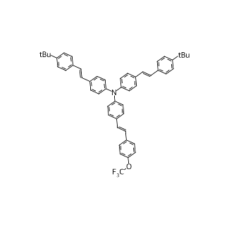 CC(C)(C)c1ccc(/C=C/c2ccc(N(c3ccc(/C=C/c4ccc(OC(F)(F)F)cc4)cc3)c3ccc(/C=C/c4ccc(C(C)(C)C)cc4)cc3)cc2)cc1